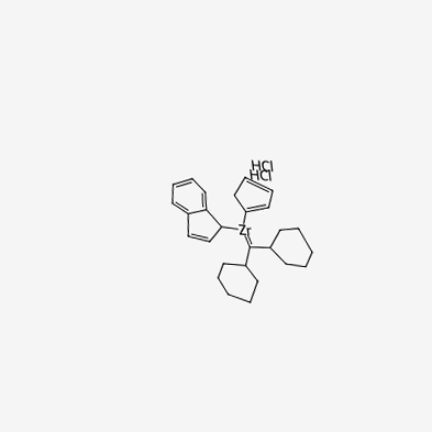 C1=CC[C]([Zr](=[C](C2CCCCC2)C2CCCCC2)[CH]2C=Cc3ccccc32)=C1.Cl.Cl